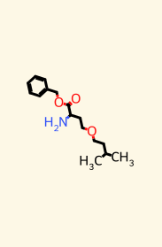 CC(C)CCOCCC(N)C(=O)OCc1ccccc1